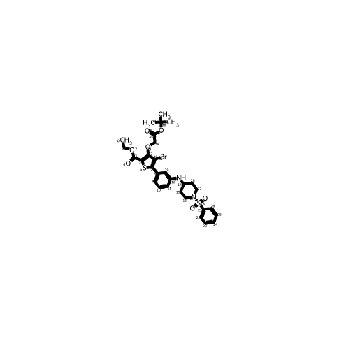 CCOC(=O)c1sc(-c2cccc(NC3CCN(S(=O)(=O)c4ccccc4)CC3)c2)c(Br)c1OCC(=O)OC(C)(C)C